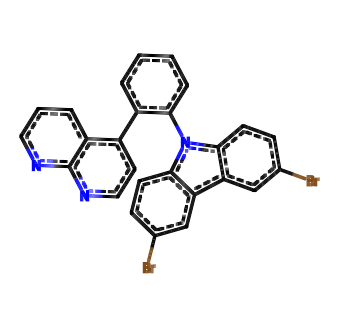 Brc1ccc2c(c1)c1cc(Br)ccc1n2-c1ccccc1-c1ccnc2ncccc12